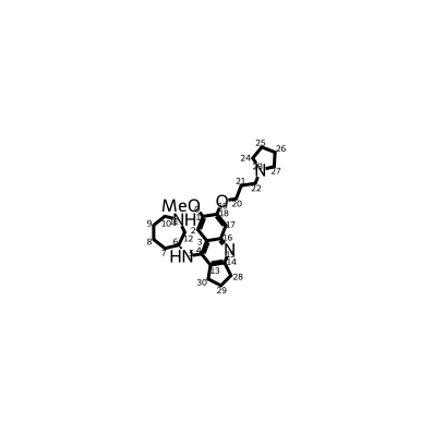 COc1cc2c(N[C@@H]3CCCCNC3)c3c(nc2cc1OCCCN1CCCC1)CCC3